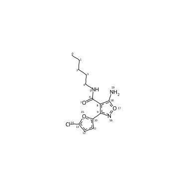 CCCCCNC(=O)c1c(-c2ccc(Cl)o2)noc1N